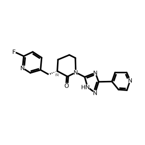 O=C1[C@H](Cc2ccc(F)nc2)CCCN1c1nc(-c2ccncc2)n[nH]1